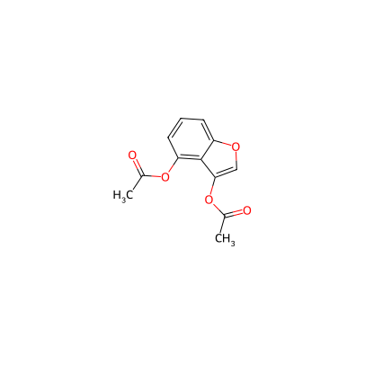 CC(=O)Oc1cccc2occ(OC(C)=O)c12